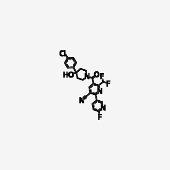 N#Cc1cc(C(=O)N2CCC(O)(c3ccc(Cl)cc3)CC2)c(C(F)F)nc1-c1ccc(F)nc1